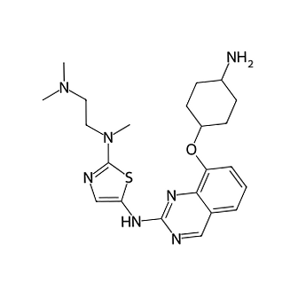 CN(C)CCN(C)c1ncc(Nc2ncc3cccc(OC4CCC(N)CC4)c3n2)s1